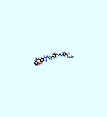 COC(=O)C1CCN(CCCOc2ccc(-c3ncc(CNC(=O)c4ccc5c(c4)CC(=O)c4ccccc4S5(=O)=O)s3)cc2)C1